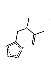 C=C(C)N(C)Cc1cncs1